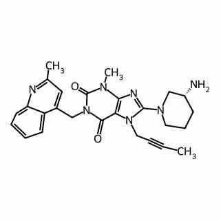 CC#CCn1c(N2CCC[C@@H](N)C2)nc2c1c(=O)n(Cc1cc(C)nc3ccccc13)c(=O)n2C